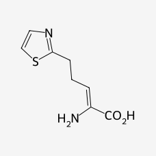 NC(=CCCc1nccs1)C(=O)O